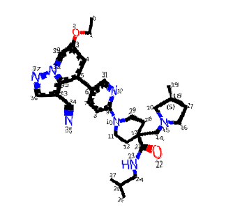 CCOc1cc(-c2ccc(N3CCC(CN4CC[C@H](C)C4)(C(=O)NCC(C)C)CC3)nc2)c2c(C#N)cnn2c1